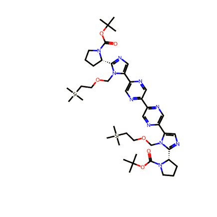 CC(C)(C)OC(=O)N1CCC[C@H]1c1ncc(-c2cnc(-c3cnc(-c4cnc([C@@H]5CCCN5C(=O)OC(C)(C)C)n4COCC[Si](C)(C)C)cn3)cn2)n1COCC[Si](C)(C)C